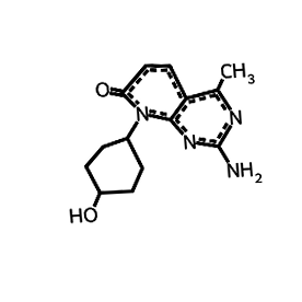 Cc1nc(N)nc2c1ccc(=O)n2C1CCC(O)CC1